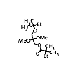 CCC(C)(C)OCC(COC(=O)C(C)(C)CC)(OC)OC